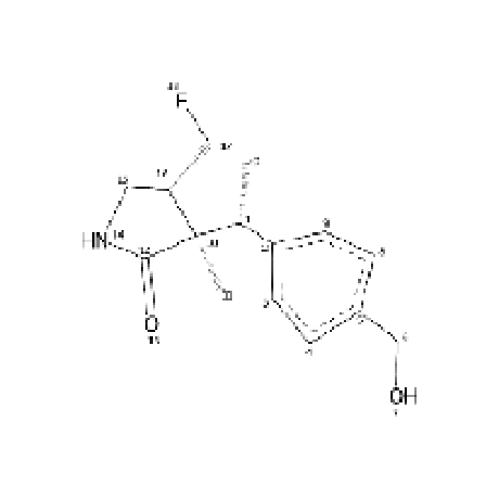 C[C@H](c1ccc(CO)cc1)[C@@]1(C)C(=O)NC[C@@H]1CF